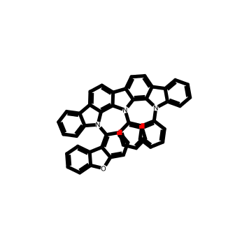 c1ccc(-n2c3ccccc3c3ccc4c5ccc6c7ccccc7n(-c7cccc8oc9ccccc9c78)c6c5n(-c5ccccc5)c4c32)cc1